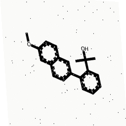 COc1ccc2cc(-c3ccccc3C(C)(C)O)ccc2c1